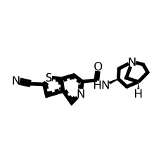 N#Cc1cc2cnc(C(=O)N[C@@H]3C[C@@H]4CCN(C4)C3)cc2s1